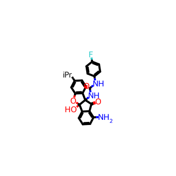 CC(C)c1ccc2c(c1)OC1(O)c3cccc(N)c3C(=O)C21NC(=O)Nc1ccc(F)cc1